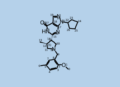 COc1ccc(C)cc1CN1C[C@@H](C)[C@H](c2nc3c(cnn3C3CCCC3)c(=O)[nH]2)C1